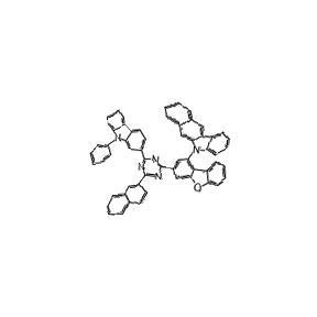 c1ccc(-n2c3ccccc3c3ccc(-c4nc(-c5ccc6ccccc6c5)nc(-c5cc(-n6c7ccccc7c7cc8ccccc8cc76)c6c(c5)oc5ccccc56)n4)cc32)cc1